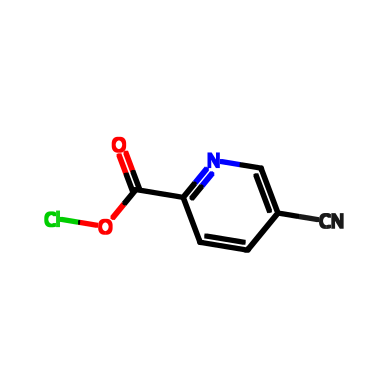 N#Cc1ccc(C(=O)OCl)nc1